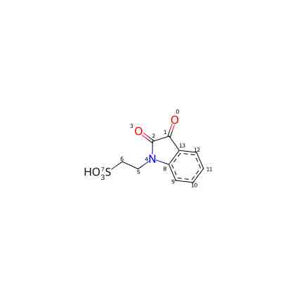 O=C1C(=O)N(CCS(=O)(=O)O)c2ccccc21